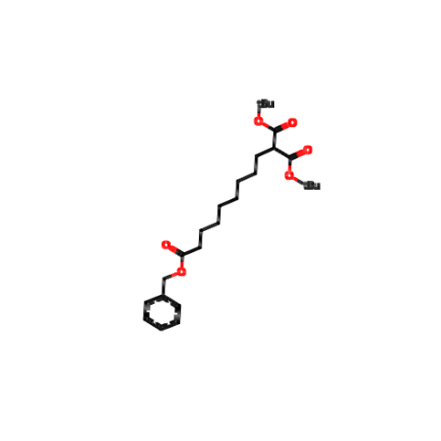 CC(C)(C)OC(=O)C(CCCCCCCCC(=O)OCc1ccccc1)C(=O)OC(C)(C)C